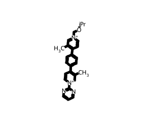 Cc1c[n+](COC(C)C)ccc1-c1ccc(-c2cc[n+](-c3ncccn3)cc2C)cc1